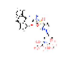 BC(B)(B)N(CCn1ccc(S(=O)(=O)NC(=O)Nc2c3c(cc4c2CCC4)CCC3)n1)C(B)(B)B